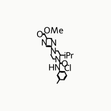 COC(=O)c1cnc(N2CCN(C(=O)Nc3cc(C)ccc3Cl)C(C(C)C)C2)cn1